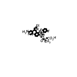 CCn1cc(-c2ccnc(N)c2)c(-c2c(F)ccc(N(COC(=O)N(C)CC(=O)O)S(=O)(=O)c3cc(F)ccc3F)c2F)n1